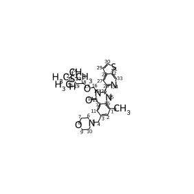 Cc1cc(CN2CCOCC2)cc2c(=O)n(COCC[SH](C)(C)(C)C)c(-c3cc4ccsc4cn3)nc12